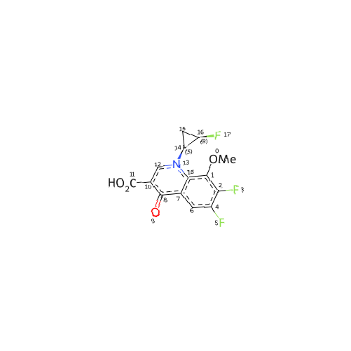 COc1c(F)c(F)cc2c(=O)c(C(=O)O)cn([C@H]3C[C@H]3F)c12